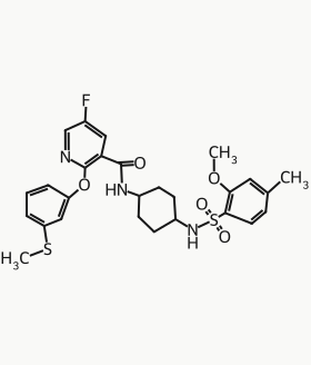 COc1cc(C)ccc1S(=O)(=O)NC1CCC(NC(=O)c2cc(F)cnc2Oc2cccc(SC)c2)CC1